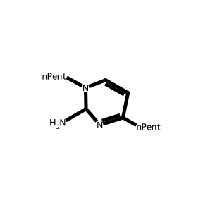 CCCCCC1=NC(N)N(CCCCC)C=C1